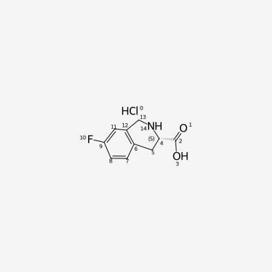 Cl.O=C(O)[C@@H]1Cc2ccc(F)cc2CN1